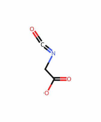 [O]C(=O)CN=C=O